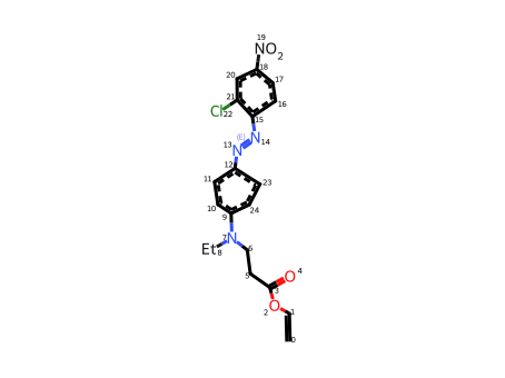 C=COC(=O)CCN(CC)c1ccc(/N=N/c2ccc([N+](=O)[O-])cc2Cl)cc1